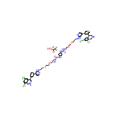 CN1Cc2c(Cl)cc(Cl)cc2C(c2cccc(-c3ccnc(NCCOCCOCCNC(=O)Nc4ccc(NC(=O)NCCOCCOCCNc5cc(-c6cccc(C7CN(C)Cc8c(Cl)cc(Cl)cc87)c6)ccn5)cc4)c3)c2)C1.O=C(O)C(F)(F)F